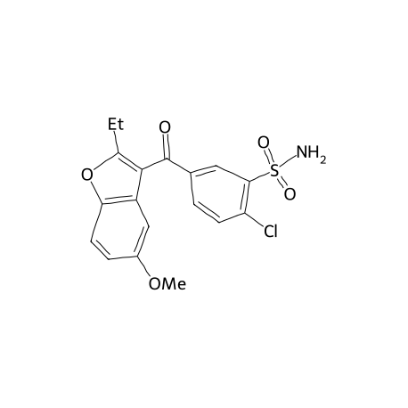 CCc1oc2ccc(OC)cc2c1C(=O)c1ccc(Cl)c(S(N)(=O)=O)c1